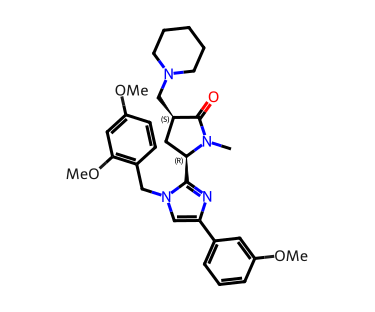 COc1cccc(-c2cn(Cc3ccc(OC)cc3OC)c([C@H]3C[C@@H](CN4CCCCC4)C(=O)N3C)n2)c1